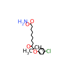 CC(C)(Oc1ccc(Cl)cc1)C(=O)CCCCCCCC(=O)ON